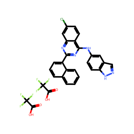 Clc1ccc2c(Nc3ccc4[nH]ncc4c3)nc(-c3cccc4ccccc34)nc2c1.O=C(O)C(F)(F)F.O=C(O)C(F)(F)F